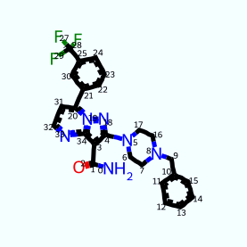 NC(=O)c1c(N2CCN(Cc3ccccc3)CC2)nn2c(-c3cccc(C(F)(F)F)c3)ccnc12